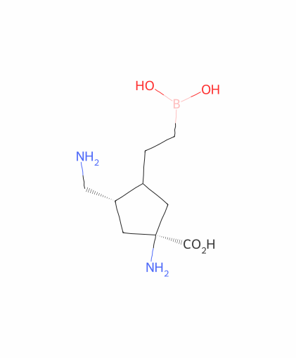 NC[C@H]1C[C@@](N)(C(=O)O)CC1CCB(O)O